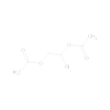 CC(=O)OCC(Cl)OC(C)=O